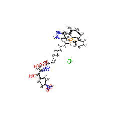 Cn1cc([P+](CCCCCCCCCC(=O)N[C@H](CO)[C@H](O)c2ccc([N+](=O)[O-])cc2)(c2ccccc2)c2ccccc2)cn1.[Cl-]